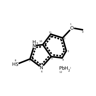 COc1ccc2nc(S)[nH]c2c1.[PbH2]